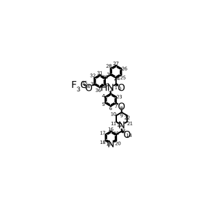 O=C(Nc1cccc(OC2CCN(C(=O)c3cccnc3)CC2)c1)c1ccccc1-c1ccc(OC(F)(F)F)cc1